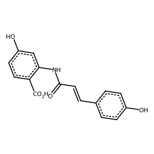 O=C(/C=C/c1ccc(O)cc1)Nc1cc(O)ccc1C(=O)O